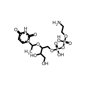 CC(OC(COP(=O)(O)OP(=O)(O)OCCN)C(O)CO)n1ccc(=O)[nH]c1=O